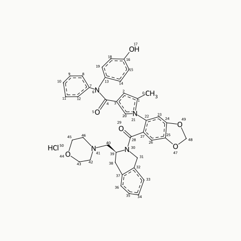 Cc1cc(C(=O)N(c2ccccc2)c2ccc(O)cc2)cn1-c1cc2c(cc1C(=O)N1Cc3ccccc3C[C@H]1CN1CCOCC1)OCO2.Cl